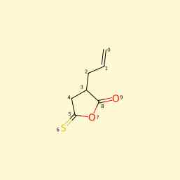 C=CCC1CC(=S)OC1=O